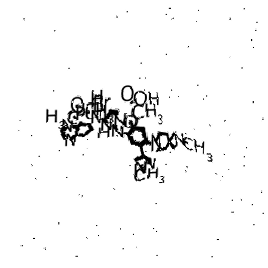 COc1cc(N2CCC3(CC2)CN(C)C3)c(-c2cnn(C)c2)cc1Nc1ncc(Br)c(Nc2ccc3nccnc3c2P(C)(C)=O)n1.O=CO